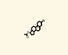 CC(=O)O[C@H]1CCC2C3CC=C4C=C(Br)CC[C@]4(C)C3CC[C@@]21C